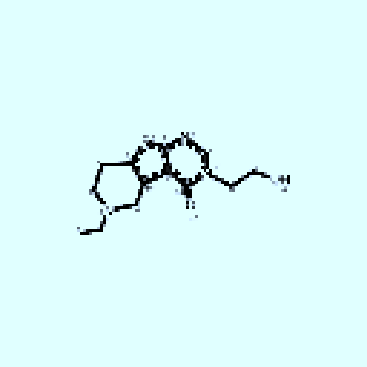 CCN1CCc2sc3ncn(CCO)c(=O)c3c2C1